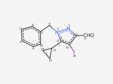 O=Cc1nn(Cc2ccccc2)c(C2CC2)c1I